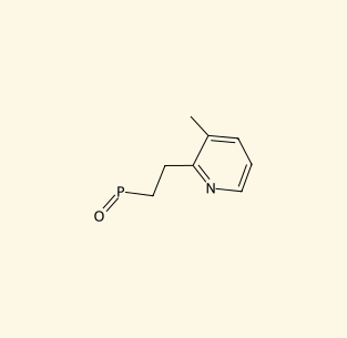 Cc1cccnc1CCP=O